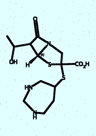 CC(O)C1C(=O)N2CC(SC3CCNCNC3)(C(=O)O)S[C@H]12